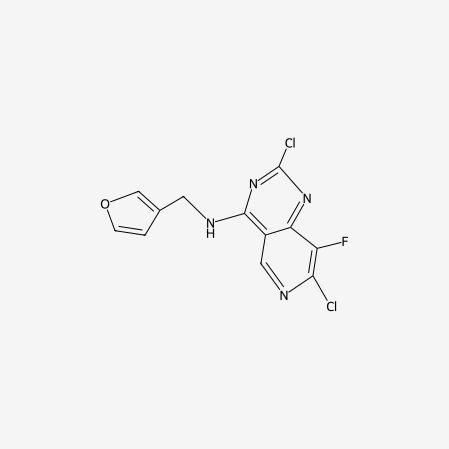 Fc1c(Cl)ncc2c(NCc3ccoc3)nc(Cl)nc12